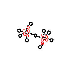 C(#C[C@H]1O[C@H](COCc2ccccc2)[C@@H](OCc2ccccc2)[C@H](OCc2ccccc2)[C@@H]1OCc1ccccc1)c1ccc(C#C[C@H]2O[C@H](COCc3ccccc3)[C@@H](OCc3ccccc3)[C@H](OCc3ccccc3)[C@@H]2OCc2ccccc2)cc1